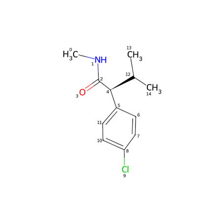 CNC(=O)[C@H](c1ccc(Cl)cc1)C(C)C